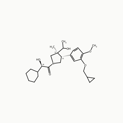 COc1ccc([C@@H]2CN(C(=O)[C@H](O)C3CCCCC3)C[C@@]2(C)C(C)O)cc1OCC1CC1